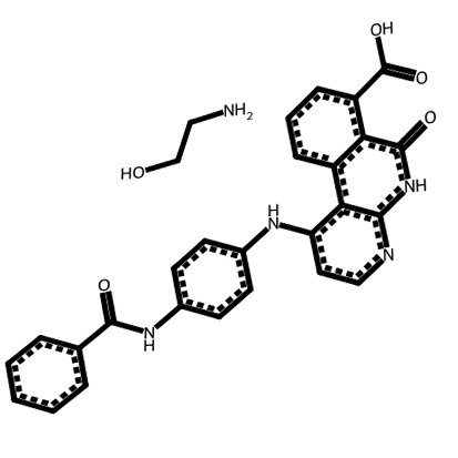 NCCO.O=C(Nc1ccc(Nc2ccnc3[nH]c(=O)c4c(C(=O)O)cccc4c23)cc1)c1ccccc1